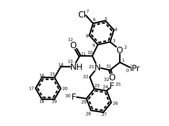 CC(C)C1Oc2ccc(Cl)cc2C(C(=O)NCc2ccccc2)N(Cc2c(F)cccc2F)C1=O